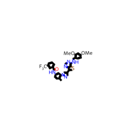 COc1ccc(CNc2ncnc3c(-c4cnn(-c5cc(NC(=O)c6cccc(C(F)(F)F)c6)ccc5C)c4)csc23)c(OC)c1